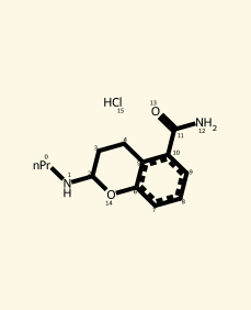 CCCNC1CCc2c(cccc2C(N)=O)O1.Cl